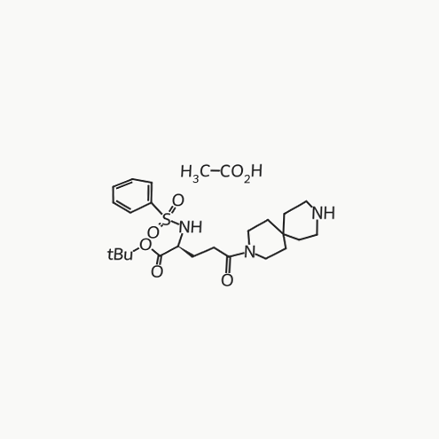 CC(=O)O.CC(C)(C)OC(=O)[C@H](CCC(=O)N1CCC2(CCNCC2)CC1)NS(=O)(=O)c1ccccc1